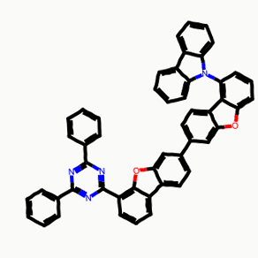 c1ccc(-c2nc(-c3ccccc3)nc(-c3cccc4c3oc3cc(-c5ccc6c(c5)oc5cccc(-n7c8ccccc8c8ccccc87)c56)ccc34)n2)cc1